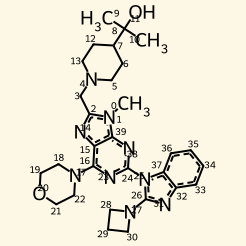 Cn1c(CN2CCC(C(C)(C)O)CC2)nc2c(N3CCOCC3)nc(-n3c(N4CCC4)nc4ccccc43)nc21